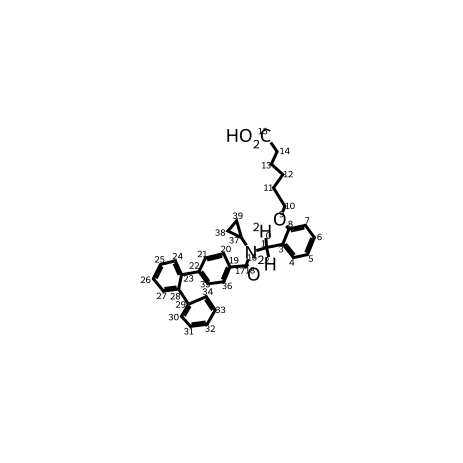 [2H]C([2H])(c1ccccc1OCCCCCC(=O)O)N(C(=O)c1ccc(-c2ccccc2-c2ccccc2)cc1)C1CC1